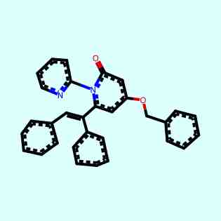 O=c1cc(OCc2ccccc2)cc(/C(=C/c2ccccc2)c2ccccc2)n1-c1ccccn1